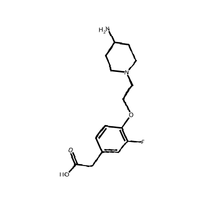 NC1CCN(CCOc2ccc(CC(=O)O)cc2F)CC1